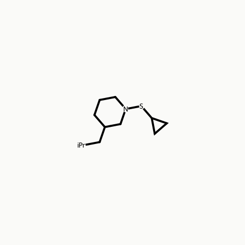 CC(C)CC1CCCN(SC2CC2)C1